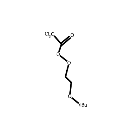 CCCCOCCOOC(=O)C(Cl)(Cl)Cl